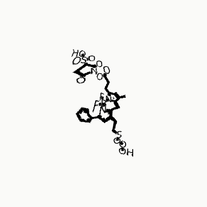 CC1=CC(CCC(=O)ON2C(=O)CC(S(=O)(=O)O)C2=O)=[N+]2C1=Cc1c(CCSOOO)cc(-c3ccccc3)n1[B-]2(F)F